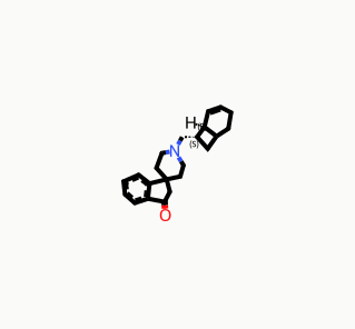 O=C1CC2(CCN(C[C@H]3CC4CCC=C[C@@H]43)CC2)c2ccccc21